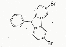 Brc1ccc2c(c1)-c1cc(Br)ccc1C2c1ccccc1